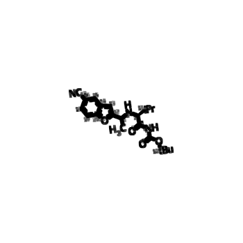 CC(N[C@H](C(=O)NC(=O)OC(C)(C)C)C(C)C)c1cc2cc(C#N)ccc2o1